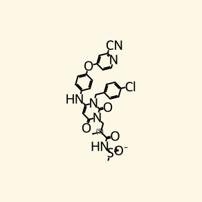 C[C@@H](Cn1c(=O)cc(Nc2ccc(Oc3ccnc(C#N)c3)cc2)n(Cc2ccc(Cl)cc2)c1=O)C(=O)N[S+](C)[O-]